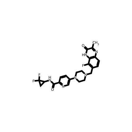 Cc1nc2ccc(CN3CCN(c4ccc(C(=O)NC5CC5(F)F)nc4)CC3)c(F)c2[nH]c1=O